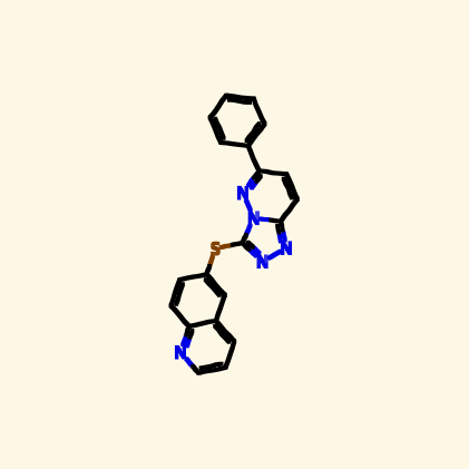 c1ccc(-c2ccc3nnc(Sc4ccc5ncccc5c4)n3n2)cc1